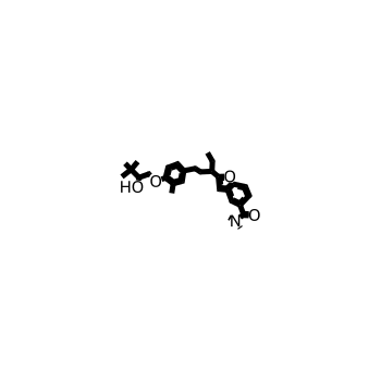 CCC(CCc1ccc(OCC(O)C(C)(C)C)c(C)c1)c1cc2cc(C(=O)N(C)C)ccc2o1